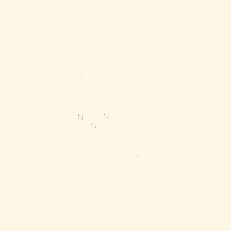 CS(=O)(=O)CCn1cc(CI)nn1